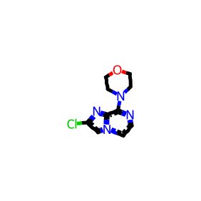 Clc1cn2ccnc(N3CCOCC3)c2n1